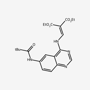 CCOC(=O)C(=CNc1ncnc2ccc(NC(=O)C(C)(C)C)cc12)C(=O)OCC